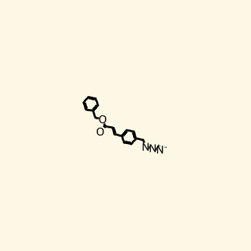 [N-]=[N+]=NCc1ccc(/C=C/C(=O)OCc2ccccc2)cc1